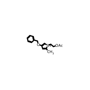 CC(=O)OCC[SH]1C=C(OCc2ccccc2)C=C1C